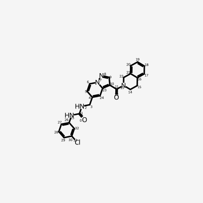 O=C(NCc1ccn2ncc(C(=O)N3CCc4ccccc4C3)c2c1)Nc1cccc(Cl)c1